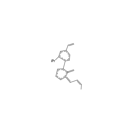 C=Cc1ccc(-c2ccc/c(=C/C=C\C)c2=C)c(C(C)C)c1